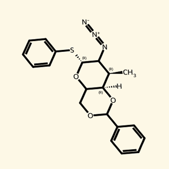 C[C@@H]1C(N=[N+]=[N-])[C@@H](Sc2ccccc2)OC2COC(c3ccccc3)O[C@@H]21